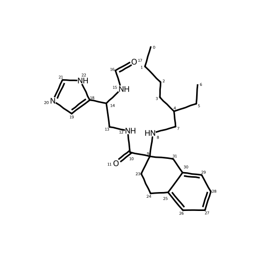 CCCCC(CC)CNC1(C(=O)NCC(NC=O)c2cnc[nH]2)CCc2ccccc2C1